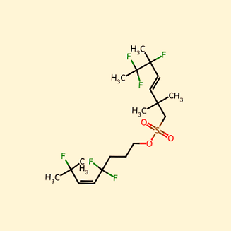 CC(C)(F)/C=C\C(F)(F)CCCOS(=O)(=O)CC(C)(C)/C=C/C(C)(F)C(C)(F)F